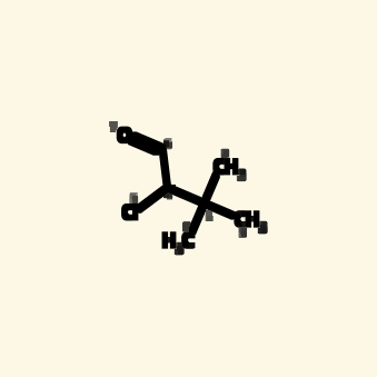 CC(C)(C)[C](Cl)C=O